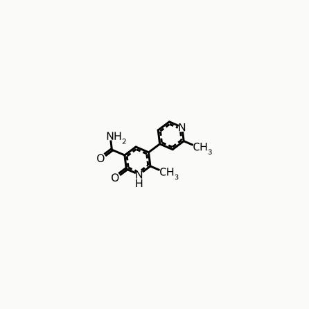 Cc1cc(-c2cc(C(N)=O)c(=O)[nH]c2C)ccn1